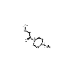 CC(C)OCC(=O)N1CCN(C(C)(C)C)CC1